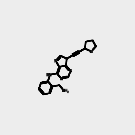 NCc1ccccc1Nc1ncnc2c1ncn2C#CC1CCCO1